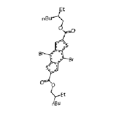 CCCCC(CC)COC(=O)c1cc2c(Br)c3sc(C(=O)OCC(CC)CCCC)cc3c(Br)c2s1